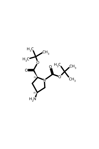 CC(C)(C)OC(=O)[C@@H]1C[C@H](N)CN1C(=O)OC(C)(C)C